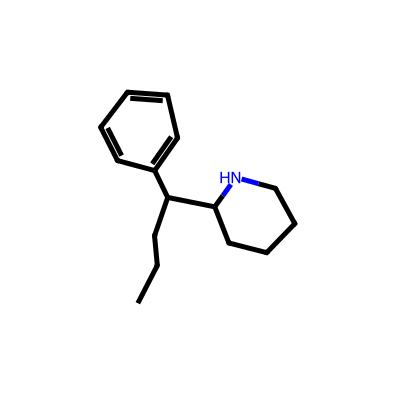 CCCC(c1ccccc1)C1CCCCN1